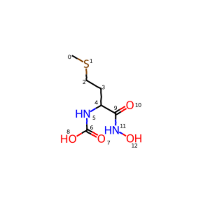 CSCCC(NC(=O)O)C(=O)NO